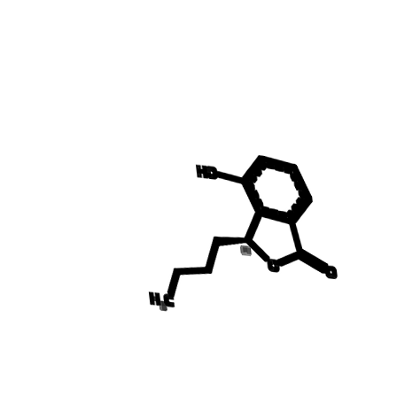 CCCC[C@@H]1OC(=O)c2cccc(O)c21